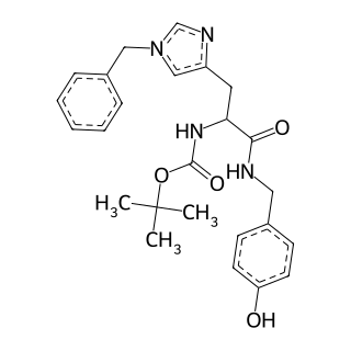 CC(C)(C)OC(=O)NC(Cc1cn(Cc2ccccc2)cn1)C(=O)NCc1ccc(O)cc1